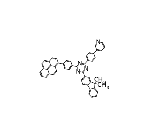 CC1(C)c2ccccc2-c2ccc(-c3nc(-c4ccc(-c5cccnc5)cc4)nc(-c4ccc(-c5ccc6ccc7cccc8ccc5c6c78)cc4)n3)cc21